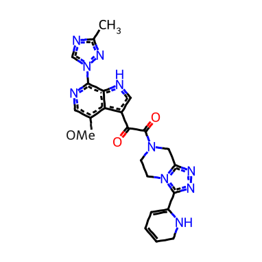 COc1cnc(-n2cnc(C)n2)c2[nH]cc(C(=O)C(=O)N3CCn4c(nnc4C4=CC=CCN4)C3)c12